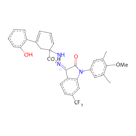 COc1c(C)cc(N2C(=O)/C(=N\NC3(C(=O)O)C=CC=C(c4ccccc4O)C3)c3ccc(C(F)(F)F)cc32)cc1C